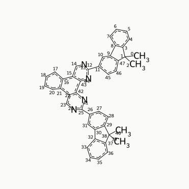 CC1(C)c2ccccc2-c2cc(-c3ncc4c5ccccc5c5cnc(-c6ccc7c(c6)-c6ccccc6C7(C)C)nc5c4n3)ccc21